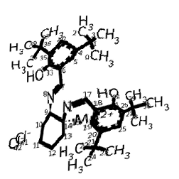 CC(C)(C)c1cc(C=N[C@@H]2CCCC[C@]2([Mn+2])N=Cc2cc(C(C)(C)C)cc(C(C)(C)C)c2O)c(O)c(C(C)(C)C)c1.[Cl-].[Cl-]